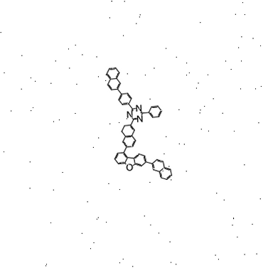 C1=C(c2nc(-c3ccccc3)nc(-c3ccc(-c4ccc5ccccc5c4)cc3)n2)CCc2cc(-c3cccc4oc5cc(-c6ccc7ccccc7c6)ccc5c34)ccc21